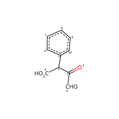 O=CC(=O)C(C(=O)O)c1ccccc1